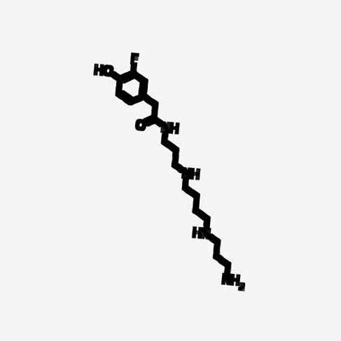 NCCCNCCCCNCCCNC(=O)Cc1ccc(O)c(F)c1